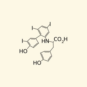 O=C(O)C(Cc1ccc(O)cc1)Nc1cc(I)cc(I)c1-c1ccc(O)c(I)c1